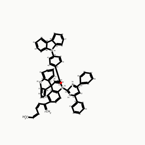 C=C(/C=C\C=C/C)c1ccc2c(c1)C1(c3ccccc3Oc3ccccc31)c1cc(-c3ccc(-n4c5ccccc5c5ccccc54)cc3)ccc1N2c1nc(-c2ccccc2)cc(-c2ccccc2)n1